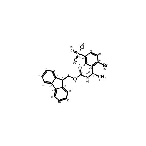 C[C@@H](NC(=O)OCC1c2ccccc2-c2ccccc21)c1cc(S(=O)(=O)Cl)ccc1Br